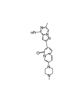 CCCc1nc(C)cn2nc(C3=C\C(=O)N4C=C(N5CCN(C)CC5)C=C\C4=C/C=C/3)cc12